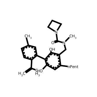 C=C(C)c1ccc(C)cc1-c1c(O)cc(CCCCC)c(CN(C)C(=O)N2CCC2)c1O